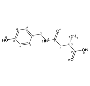 N[C@@H](CC(=O)NCc1ccc(O)cc1)C(=O)O